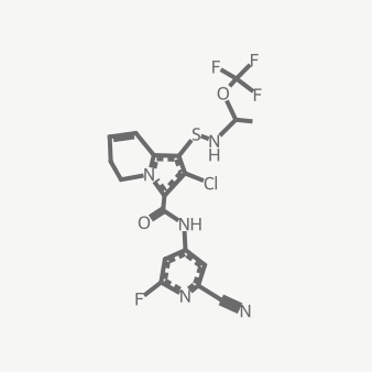 CC(NSc1c(Cl)c(C(=O)Nc2cc(F)nc(C#N)c2)n2c1C=CCC2)OC(F)(F)F